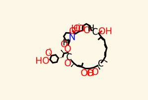 CO[C@@H]1C[C@H](C[C@@H](C)[C@@H]2CC(=O)[C@H](C)/C=C(\C)[C@@H](O)[C@@H](OC)C(=O)[C@H](C)C[C@H](C)/C=C/C=C/C=C(\C)C(O)C[C@@H]3CC[C@@H](C)[C@@](O)(O3)C(=O)C(=O)N3CCCC[C@H]3C(=O)O2)CC[C@H]1O